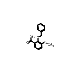 COc1cccc(C(=O)O)c1OCc1ccccc1